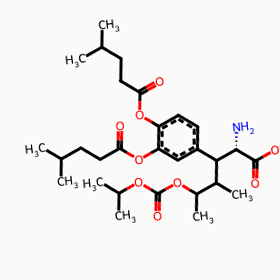 CC(C)CCC(=O)Oc1ccc(C(C(C)C(C)OC(=O)OC(C)C)[C@H](N)C(=O)O)cc1OC(=O)CCC(C)C